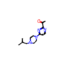 CC(=O)c1nccc(N2CCN(CC(C)C)CC2)n1